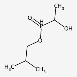 CC(C)CO[PH](=O)C(C)O